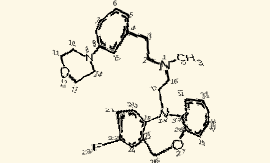 CN(CCc1cccc(N2CCOCC2)c1)CCN1c2ccc(F)cc2COc2ccccc21